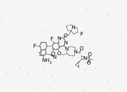 CS(=O)(=O)N1[C@@H](C(=O)N2CCC3COc4c(Cl)c(-c5ccc(F)c6sc(N)c(C#N)c56)c(F)c5nc(OCC67CCCN6C[C@H](F)C7)nc(c45)N3CC2)[C@@H]1C1CC1